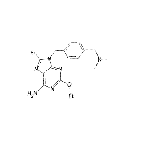 CCOc1nc(N)c2nc(Br)n(Cc3ccc(CN(C)C)cc3)c2n1